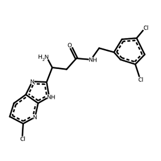 NC(CC(=O)NCc1cc(Cl)cc(Cl)c1)c1nc2ccc(Cl)nc2[nH]1